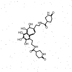 O=C1CCC(C(=O)NCCC2=CC=c3c(CCNC(=O)C4CCC(=O)NC4)c(O)c(O)c(O)c3=C(O)C2O)CN1